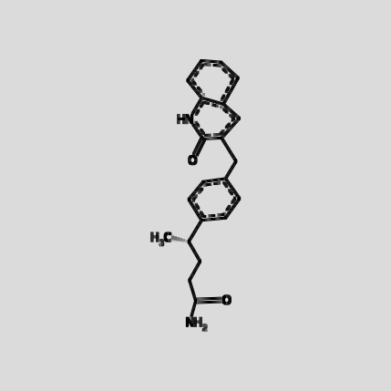 C[C@@H](CCC(N)=O)c1ccc(Cc2cc3ccccc3[nH]c2=O)cc1